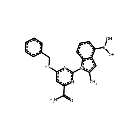 Cc1cc2c(B(O)O)cccc2n1-c1nc(NCc2ccccc2)cc(C(N)=O)n1